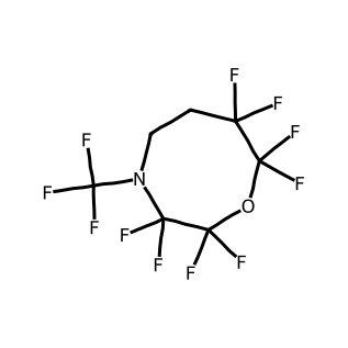 FC(F)(F)N1CCC(F)(F)C(F)(F)OC(F)(F)C1(F)F